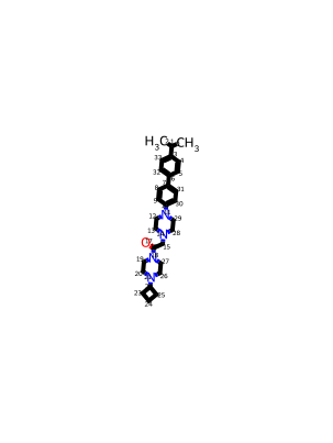 CC(C)c1ccc(-c2ccc(N3CCN(CC(=O)N4CCN(C5CCC5)CC4)CC3)cc2)cc1